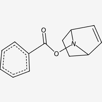 O=C(ON1C2C=CC1CC2)c1ccccc1